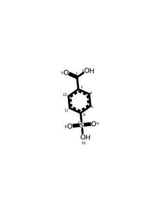 O=C(O)c1ccc(S(=O)(=O)O)cc1